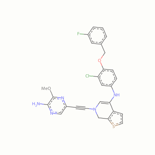 COc1nc(C#CN2C=C(Nc3ccc(OCc4cccc(F)c4)c(Cl)c3)c3ccsc3C2)cnc1N